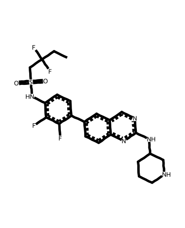 CCC(F)(F)CS(=O)(=O)Nc1ccc(-c2ccc3nc(NC4CCCNC4)ncc3c2)c(F)c1F